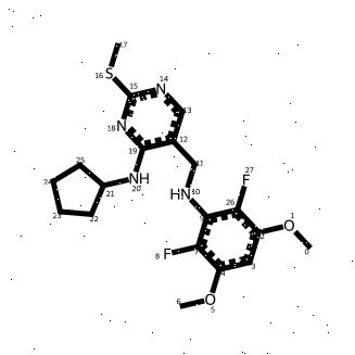 COc1cc(OC)c(F)c(NCc2cnc(SC)nc2NC2CCCC2)c1F